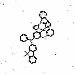 CC1(C)c2ccccc2-c2ccc(N(c3ccccc3)c3ccc4c(c3)Sc3ccccc3C43c4ccccc4-n4c5ccccc5c5cccc3c54)cc21